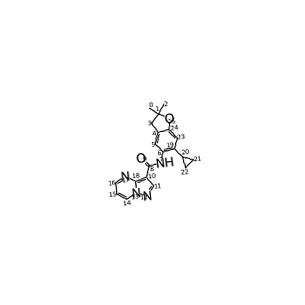 CC1(C)Cc2cc(NC(=O)c3cnn4cccnc34)c(C3CC3)cc2O1